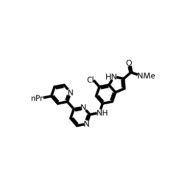 CCCc1ccnc(-c2ccnc(Nc3cc(Cl)c4[nH]c(C(=O)NC)cc4c3)n2)c1